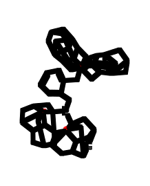 c1ccc(CP(C23CC4CC56CC7(C4)C5CC(CC62)CC73)C23CC4CC56CC7(C4)C5CC(CC62)CC73)c(CP(C23CC4CC5C6CC(CC52)CC3C6C4)C23CC4CC5C6CC(CC52)CC3C6C4)c1